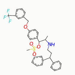 CC(NCCC(c1ccccc1)c1ccccc1)C(OS(C)(=O)=O)c1ccc(OCc2cccc(C(F)(F)F)c2)cc1